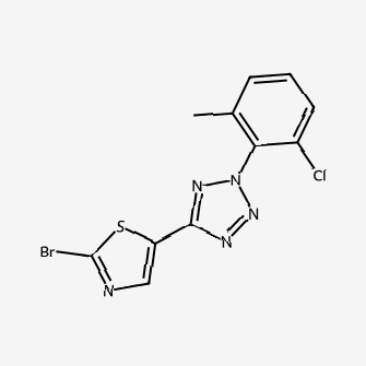 Cc1cccc(Cl)c1-n1nnc(-c2cnc(Br)s2)n1